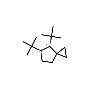 CC(C)(C)[C@H]1N(C(C)(C)C)CCC12CC2